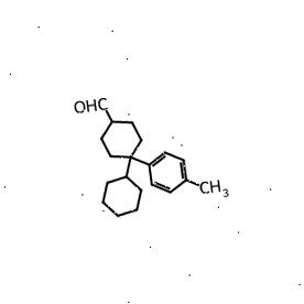 Cc1ccc(C2(C3CCCCC3)CCC(C=O)CC2)cc1